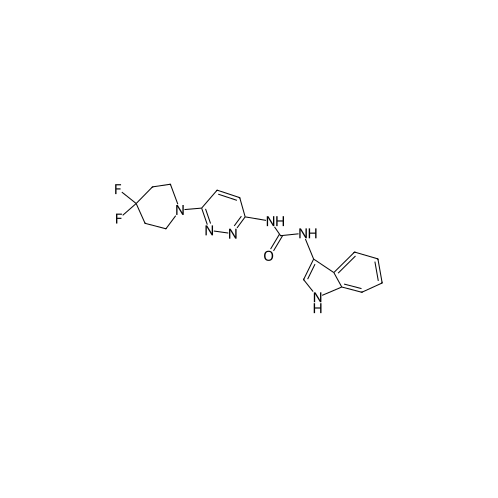 O=C(Nc1ccc(N2CCC(F)(F)CC2)nn1)Nc1c[nH]c2ccccc12